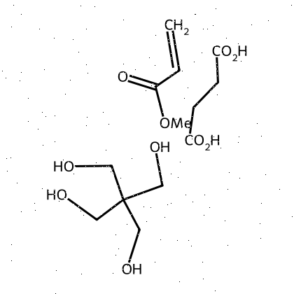 C=CC(=O)OC.O=C(O)CCC(=O)O.OCC(CO)(CO)CO